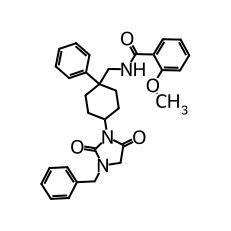 COc1ccccc1C(=O)NCC1(c2ccccc2)CCC(N2C(=O)CN(Cc3ccccc3)C2=O)CC1